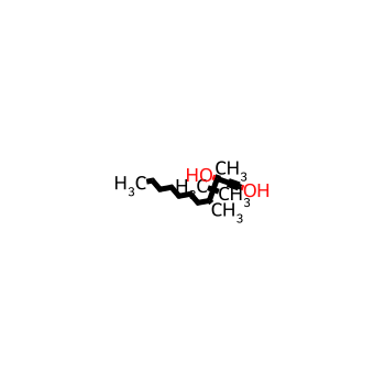 CCCCCCCC(C)C(C)(C)C(C)(O)C#CO